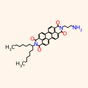 CCCCCCC(CCCCCC)N1C(=O)c2ccc3c4ccc5c6c(ccc(c7ccc(c2c37)C1=O)c64)C(=O)N(CCCN)C5=O